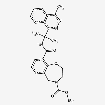 Cc1nnc(C(C)(C)NC(=O)c2cccc3c2OCCN(C(=O)OC(C)(C)C)C3)c2ccccc12